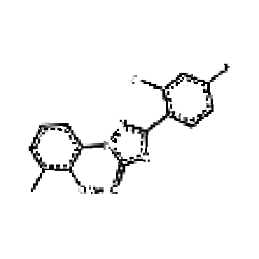 COc1c(C)cccc1-n1nc(-c2ccc(F)cc2Cl)oc1=O